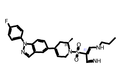 CCCN/C=C(\C=N)S(=O)(=O)N1CC=C(c2ccc3c(cnn3-c3ccc(F)cc3)c2)C[C@H]1C